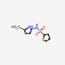 O=C(O)c1ccc(NS(=O)(=O)c2cccs2)[nH]1